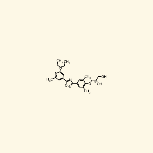 CCN(CC)c1cc(-c2nc(-c3cc(C)c(OC[C@H](O)CO)c(C)c3)no2)cc(C)n1